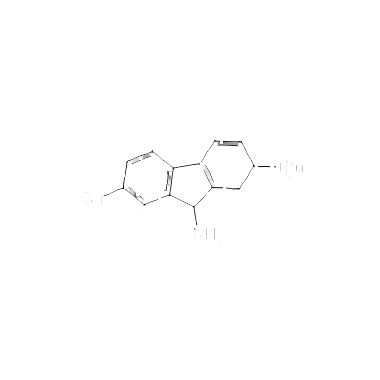 CC(C)(C)c1ccc2c(c1)C(N)C1=C2C=CC(C(C)(C)C)C1